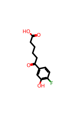 O=C(O)CCCCC(=O)c1ccc(F)c(O)c1